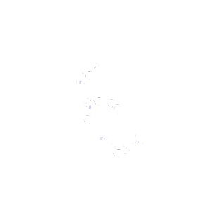 Cn1cc(-c2ccc(N(C(=O)NCc3ccc(OCCCNC(=O)COc4cccc5c4C(=O)N(C4CCC(=O)NC4=O)C5=O)cc3)[C@H]3CC[C@H](Nc4ccc(C#N)cn4)CC3)cc2)ccc1=O